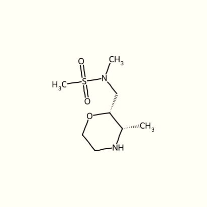 C[C@@H]1NCCO[C@@H]1CN(C)S(C)(=O)=O